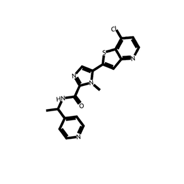 CC(NC(=O)c1ncc(-c2cc3nccc(Cl)c3s2)n1C)c1ccncc1